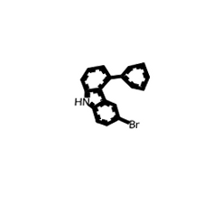 Brc1ccc2[nH]c3cccc(-c4ccccc4)c3c2c1